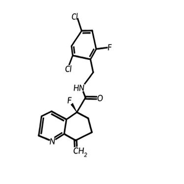 C=C1CC[C@@](F)(C(=O)NCc2c(F)cc(Cl)cc2Cl)c2cccnc21